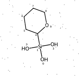 O[Si](O)(O)C1CCCCO1